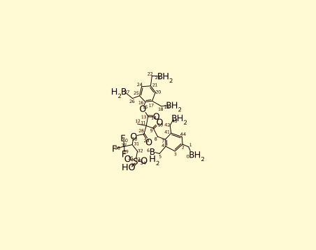 BCc1cc(CB)c(CC(=O)C(C)(C(=O)Oc2c(CB)cc(CB)cc2CB)C(=O)OC(CS(=O)(=O)O)C(F)(F)F)c(CB)c1